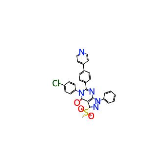 CS(=O)(=O)c1nn(-c2ccccc2)c2nc(-c3ccc(-c4ccncc4)cc3)n(-c3ccc(Cl)cc3)c(=O)c12